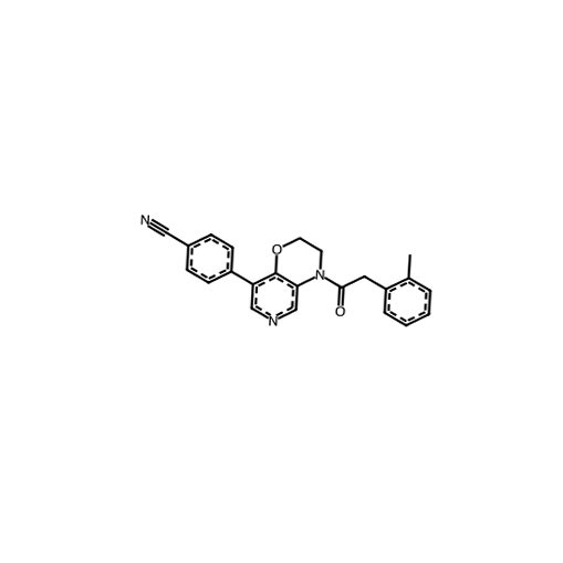 Cc1ccccc1CC(=O)N1CCOc2c(-c3ccc(C#N)cc3)cncc21